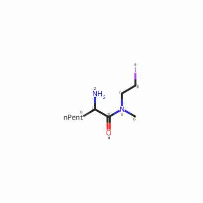 CCCCCC(N)C(=O)N(C)CCI